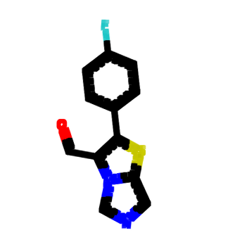 O=Cc1c(-c2ccc(F)cc2)sc2cncn12